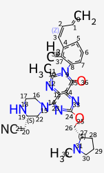 C=C/C=C\c1cccc(-n2c(C)nc3c(N4CCN[C@@H](CC#N)C4)nc(OC[C@@H]4CCCN4C)nc3c2=O)c1C